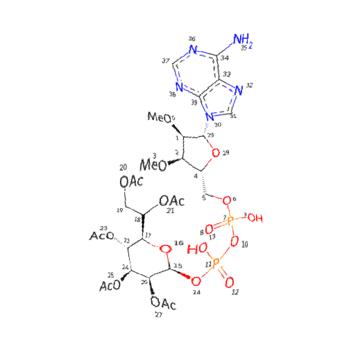 CO[C@@H]1[C@H](OC)[C@@H](COP(=O)(O)OP(=O)(O)O[C@@H]2O[C@H](C(COC(C)=O)OC(C)=O)[C@@H](OC(C)=O)[C@H](OC(C)=O)[C@@H]2OC(C)=O)O[C@H]1n1cnc2c(N)ncnc21